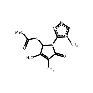 COC(=O)OC1C(C)=C(C)C(=O)N1c1nncn1C